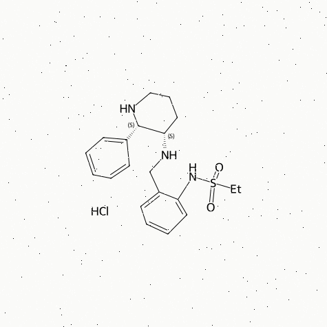 CCS(=O)(=O)Nc1ccccc1CN[C@H]1CCCN[C@H]1c1ccccc1.Cl